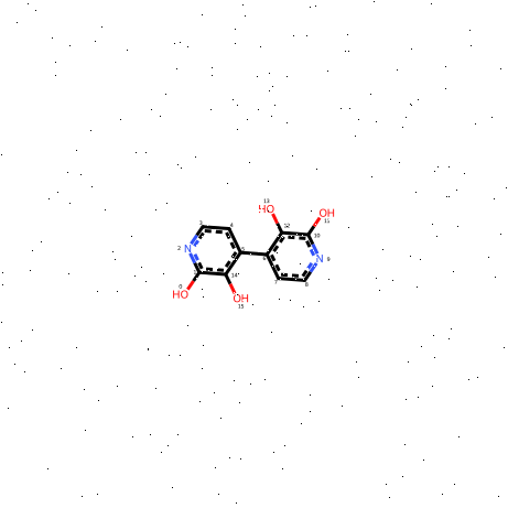 Oc1nccc(-c2ccnc(O)c2O)c1O